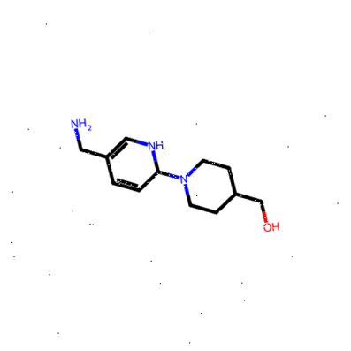 NCC1=CNC(N2CCC(CO)CC2)C=C1